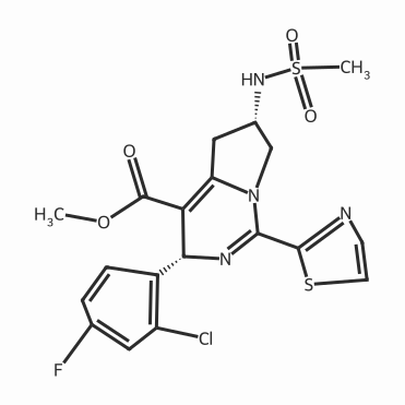 COC(=O)C1=C2C[C@H](NS(C)(=O)=O)CN2C(c2nccs2)=N[C@@H]1c1ccc(F)cc1Cl